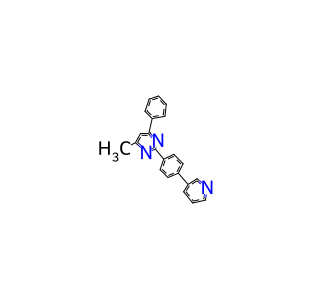 Cc1cc(-c2ccccc2)nc(-c2ccc(-c3cccnc3)cc2)n1